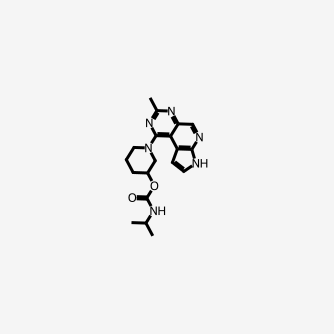 Cc1nc(N2CCCC(OC(=O)NC(C)C)C2)c2c(cnc3[nH]ccc32)n1